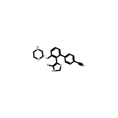 N#Cc1ccc(-c2cccc(C[C@H]3CNCCO3)c2C2=C(F)NCO2)cc1